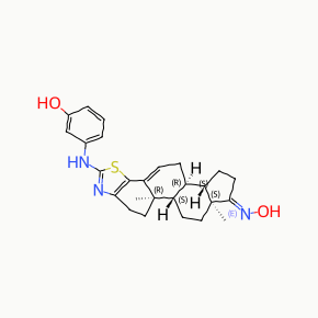 C[C@]12CCc3nc(Nc4cccc(O)c4)sc3C1=CC[C@@H]1[C@@H]2CC[C@]2(C)/C(=N/O)CC[C@@H]12